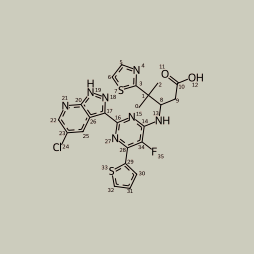 CC(C)(c1nccs1)C(CC(=O)O)Nc1nc(-c2n[nH]c3ncc(Cl)cc23)nc(-c2cccs2)c1F